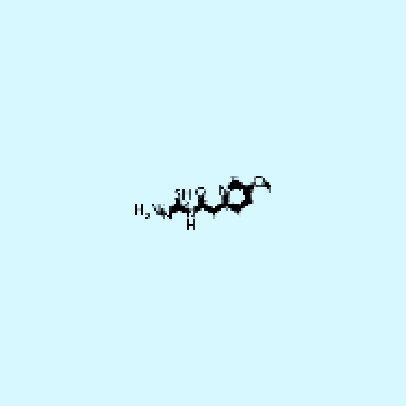 COc1ccc(CC(=O)N/C(S)=N/N)nc1